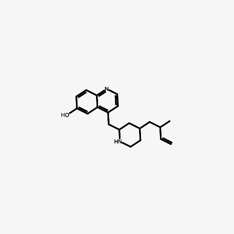 C=CC(C)CC1CCNC(Cc2ccnc3ccc(O)cc23)C1